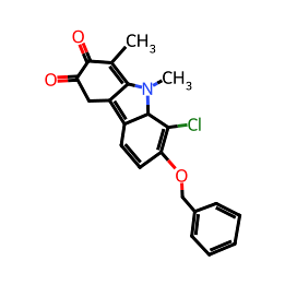 CC1=C2C(=C3C=CC(OCc4ccccc4)=C(Cl)C3N2C)CC(=O)C1=O